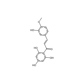 COc1ccc(C=CC(=O)c2c(O)cc(O)cc2O)cc1O